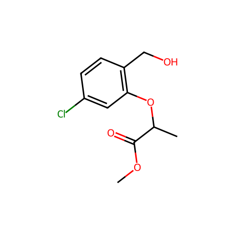 COC(=O)C(C)Oc1cc(Cl)ccc1CO